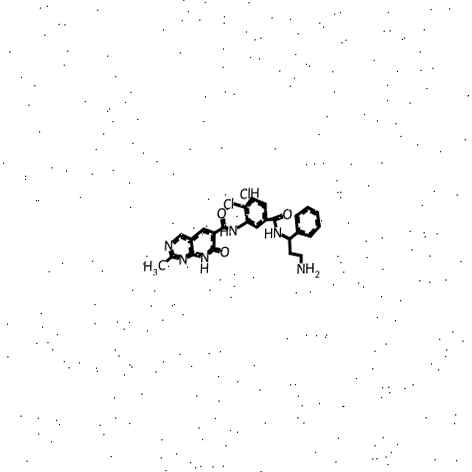 Cc1ncc2cc(C(=O)Nc3cc(C(=O)NC(CCN)c4ccccc4)ccc3Cl)c(=O)[nH]c2n1.Cl